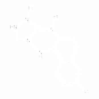 CCc1ccc2c3c(ccc2c1)S(CC)=C1N(CC)NCN1N3